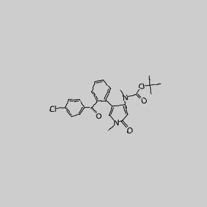 CN(C(=O)OC(C)(C)C)c1cc(=O)n(C)cc1-c1ccccc1C(=O)c1ccc(Cl)cc1